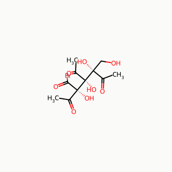 CC(=O)[C@@](O)(C(=O)Br)[C@@](O)(C(C)=O)[C@@](O)(CO)C(C)=O